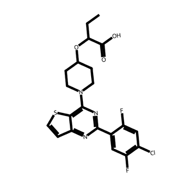 CCC(OC1CCN(c2nc(-c3cc(F)c(Cl)cc3F)nc3ccsc23)CC1)C(=O)O